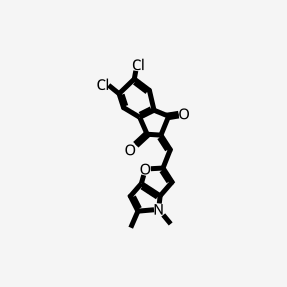 Cc1cc2oc(C=C3C(=O)c4cc(Cl)c(Cl)cc4C3=O)cc2n1C